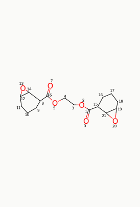 O=C(OCCOC(=O)C1CCCC2OC21)C1CCCC2OC21